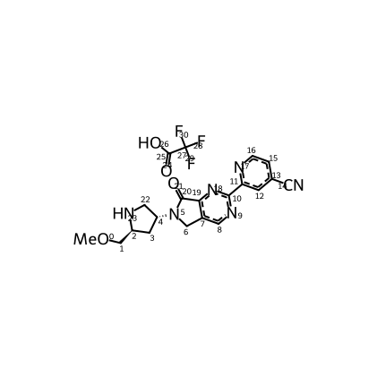 COC[C@@H]1C[C@@H](N2Cc3cnc(-c4cc(C#N)ccn4)nc3C2=O)CN1.O=C(O)C(F)(F)F